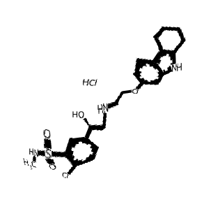 CNS(=O)(=O)c1cc([C@@H](O)CNCCOc2ccc3c4c([nH]c3c2)CCCC4)ccc1Cl.Cl